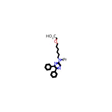 CC(C)N(CCCCCCOCC(=O)O)c1cnc(-c2ccccc2)c(-c2ccccc2)n1